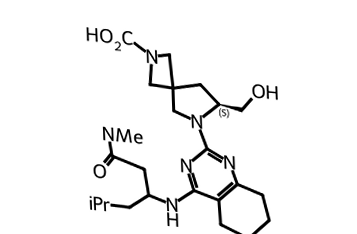 CNC(=O)CC(CC(C)C)Nc1nc(N2CC3(C[C@H]2CO)CN(C(=O)O)C3)nc2c1CCCC2